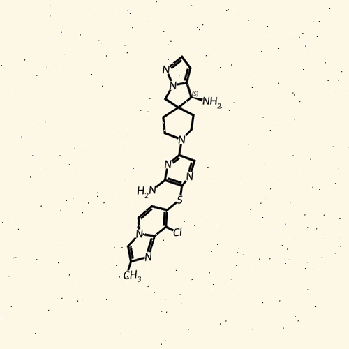 Cc1cn2ccc(Sc3ncc(N4CCC5(CC4)Cn4nccc4[C@H]5N)nc3N)c(Cl)c2n1